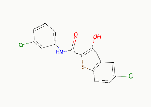 O=C(Nc1cccc(Cl)c1)c1sc2ccc(Cl)cc2c1O